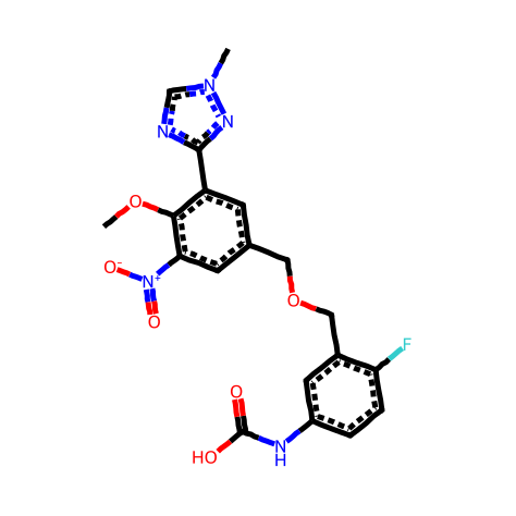 COc1c(-c2ncn(C)n2)cc(COCc2cc(NC(=O)O)ccc2F)cc1[N+](=O)[O-]